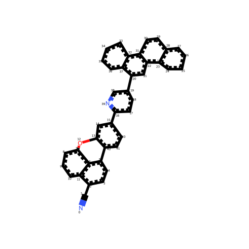 N#Cc1ccc2c3c(cccc13)Oc1cc(-c3ccc(-c4cc5c6ccccc6ccc5c5ccccc45)cn3)ccc1-2